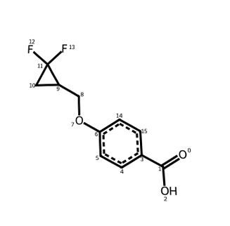 O=C(O)c1ccc(OCC2CC2(F)F)cc1